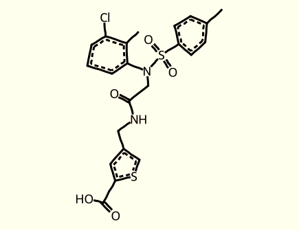 Cc1ccc(S(=O)(=O)N(CC(=O)NCc2csc(C(=O)O)c2)c2cccc(Cl)c2C)cc1